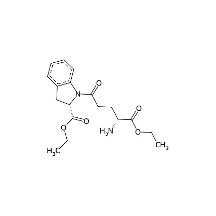 CCOC(=O)[C@H](N)CCC(=O)N1c2ccccc2C[C@H]1C(=O)OCC